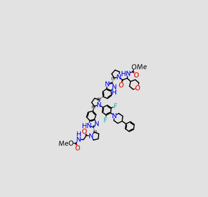 COC(=O)NCC(=O)N1CCC[C@H]1c1nc2cc([C@H]3CC[C@H](c4ccc5[nH]c([C@@H]6CCCN6C(=O)C(NC(=O)OC)C6CCOCC6)nc5c4)N3c3cc(F)c(N4CCC(c5ccccc5)CC4)c(F)c3)ccc2[nH]1